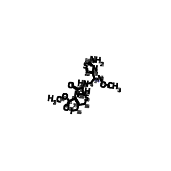 CO/N=C(\CN[C@@H]1C(=O)N2C(C(=O)OC)=C(CI)CS[C@H]12)c1csc(N)n1